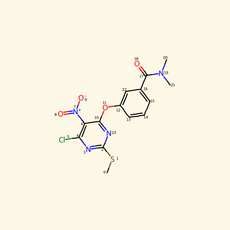 CSc1nc(Cl)c([N+](=O)[O-])c(Oc2cccc(C(=O)N(C)C)c2)n1